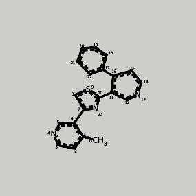 Cc1ccncc1-c1csc(-c2cnccc2-c2ccccc2)n1